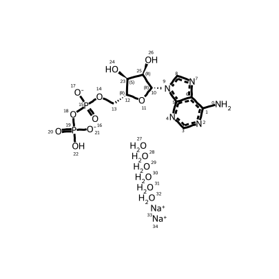 Nc1ncnc2c1ncn2[C@@H]1O[C@H](COP(=O)([O-])OP(=O)([O-])O)[C@@H](O)[C@H]1O.O.O.O.O.O.O.[Na+].[Na+]